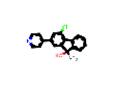 OC1(C(F)(F)F)c2ccccc2-c2c(Cl)cc(-c3ccncc3)cc21